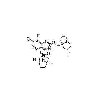 CC(C)(C)OC(=O)N1[C@@H]2CC[C@H]1CN(c1nc(OC[C@@]34CCCN3C[C@H](F)C4)nc3c(F)c(Cl)ncc13)C2